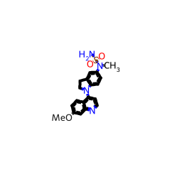 COc1ccc2c(N3CCc4cc(N(C)S(N)(=O)=O)ccc43)ccnc2c1